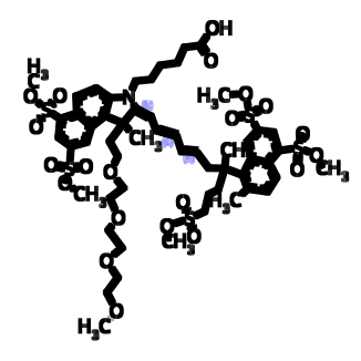 COCCOCCOCCOCCC1(C)\C(=C/C=C/C=C/CC(C)(CCCS(=O)(=O)OC)c2c(C)ccc3c(S(=O)(=O)OC)cc(S(=O)(=O)OC)cc23)N(CCCCCC(=O)O)c2ccc3c(S(=O)(=O)OC)cc(S(=O)(=O)OC)cc3c21